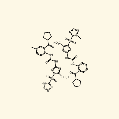 Cc1ccc(NC(=O)Nc2nc(C(=O)O)c(S(=O)(=O)c3nnn[nH]3)s2)c(C(=O)C2CCCC2)c1.Cn1nnnc1S(=O)(=O)c1sc(NC(=O)Nc2ncccc2C(=O)C2CCCC2)nc1C(=O)O